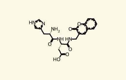 N[C@@H](Cc1c[nH]cn1)C(=O)N[C@@H](CC(=O)O)C(=O)NCc1cc2ccccc2oc1=O